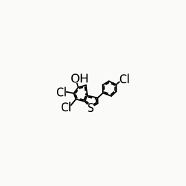 Oc1cc2c(-c3ccc(Cl)cc3)csc2c(Cl)c1Cl